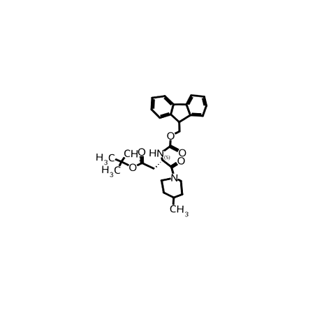 CC1CCN(C(=O)[C@H](CC(=O)OC(C)(C)C)NC(=O)OCC2c3ccccc3-c3ccccc32)CC1